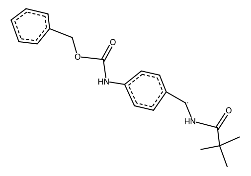 CC(C)(C)C(=O)N[CH]c1ccc(NC(=O)OCc2ccccc2)cc1